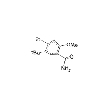 CCc1cc(OC)c(C(N)=O)cc1C(C)(C)C